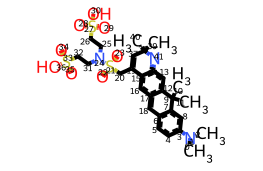 CN(C)c1ccc2c(c1)C(C)(C)c1cc3c(cc1=C2)C(CS(=O)(=O)N(CCS(=O)(=O)O)CCS(=O)(=O)O)=CC(C)(C)N=3